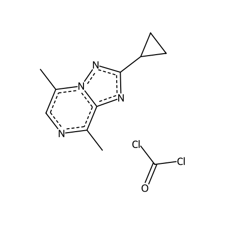 Cc1ncc(C)n2nc(C3CC3)nc12.O=C(Cl)Cl